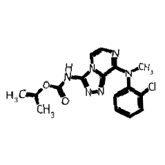 CC(C)OC(=O)Nc1nnc2c(N(C)c3ccccc3Cl)nccn12